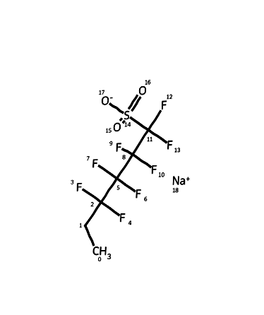 CCC(F)(F)C(F)(F)C(F)(F)C(F)(F)S(=O)(=O)[O-].[Na+]